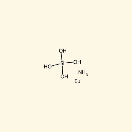 N.O[Si](O)(O)O.[Eu]